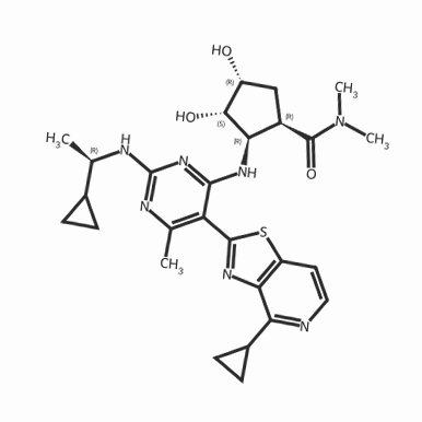 Cc1nc(N[C@H](C)C2CC2)nc(N[C@H]2[C@H](O)[C@H](O)C[C@H]2C(=O)N(C)C)c1-c1nc2c(C3CC3)nccc2s1